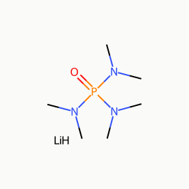 CN(C)P(=O)(N(C)C)N(C)C.[LiH]